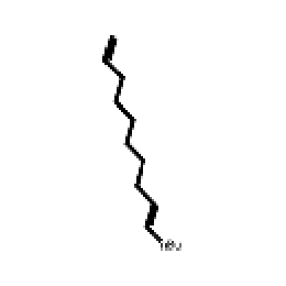 [CH2]CCCC=CCCCCCCC=C